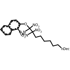 CCCCCCCCCCCCCCCCC([N+](=O)[O-])([N+](=O)[O-])C(Oc1ccc2ccccc2c1O)([N+](=O)[O-])[N+](=O)[O-]